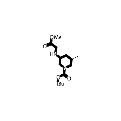 COC(=O)CNC1C[C@H](C)CN(C(=O)OC(C)(C)C)C1